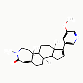 COc1cncc(C2=CC[C@H]3[C@@H]4CCC5=CC(=O)N(C)CC[C@]5(C)C4CC[C@]23C)c1